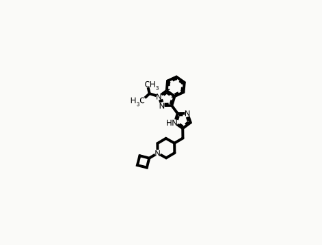 CC(C)n1nc(-c2ncc(CC3CCN(C4CCC4)CC3)[nH]2)c2ccccc21